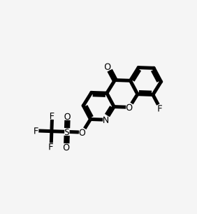 O=c1c2ccc(OS(=O)(=O)C(F)(F)F)nc2oc2c(F)cccc12